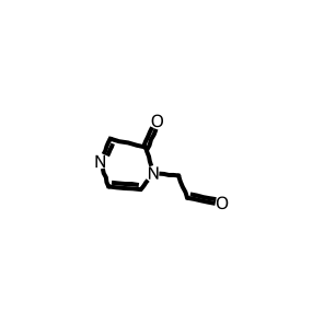 O=CCn1ccncc1=O